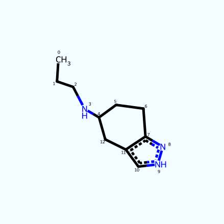 CCCNC1CCc2n[nH]cc2C1